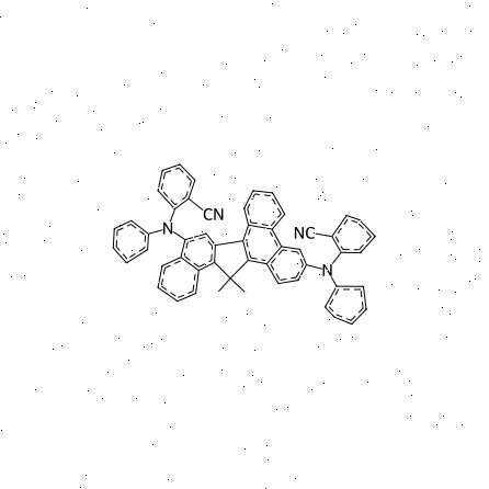 CC1(C)c2c(cc(N(c3ccccc3)c3ccccc3C#N)c3ccccc23)-c2c1c1ccc(N(c3ccccc3)c3ccccc3C#N)cc1c1ccccc21